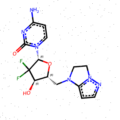 Nc1ccn([C@@H]2O[C@H](CN3CCn4nccc43)[C@@H](O)C2(F)F)c(=O)n1